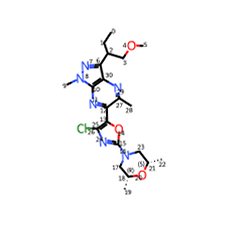 CCC(COC)c1nn(C)c2nc(-c3oc(N4C[C@@H](C)O[C@@H](C)C4)nc3Cl)c(C)nc12